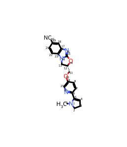 CN1CCC=C1c1ccc(OC[C@@H]2Cn3c(nc4cc(C#N)ccc43)O2)cn1